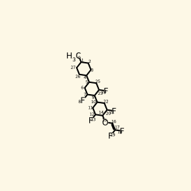 CC1CCC(C2CC(F)C(C3CC(F)C(OC=C(F)F)C(F)C3)C(F)C2)CC1